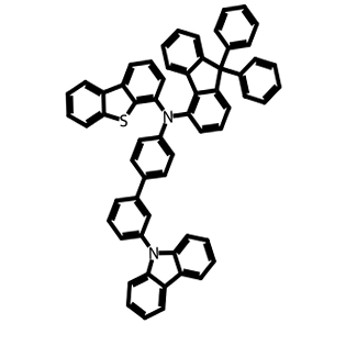 c1ccc(C2(c3ccccc3)c3ccccc3-c3c(N(c4ccc(-c5cccc(-n6c7ccccc7c7ccccc76)c5)cc4)c4cccc5c4sc4ccccc45)cccc32)cc1